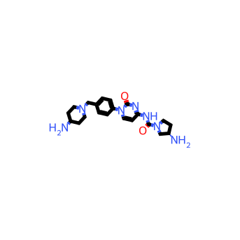 NC1CCN(Cc2ccc(-n3ccc(NC(=O)N4CC[C@H](N)C4)nc3=O)cc2)CC1